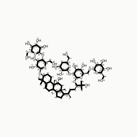 C[C@H](CC[C@@H](O[C@@H]1O[C@H](CO[C@H]2O[C@H](CO)[C@@H](O)[C@H](O)[C@H]2O)[C@@H](O)[C@H](O)[C@H]1O[C@@H]1O[C@H](CO)C[C@H](O)[C@H]1O)C(C)(C)O)C1CC[C@@]2(C)C3CC=C4C(CC[C@H](O[C@@H]5O[C@H](CO)[C@@H](O[C@H]6O[C@H](CO)[C@@H](O)[C@H](O)[C@H]6O)[C@H](O)[C@H]5O)C4(C)C)[C@]3(C)[C@H](O)C[C@]12C